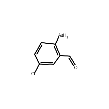 O=Cc1cc(Cl)ccc1[AsH2]